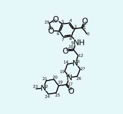 CC(=O)c1cc2c(cc1NC(=O)CN1CCN(C(=O)C3CCN(C)CC3)CC1)OCO2